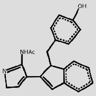 CC(=O)NC1=NCC=C1C1=Cc2ccccc2C1Cc1ccc(O)cc1